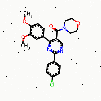 COc1ccc(-c2nc(-c3ccc(Cl)cc3)ncc2C(=O)N2CCOCC2)cc1OC